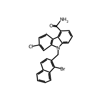 NC(=O)c1cccc2c1c1[c]cc(Cl)cc1n2Cc1ccc2ccccc2c1Br